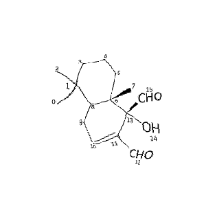 CC1(C)CCC[C@@]2(C)C1CC=C(C=O)[C@]2(O)C=O